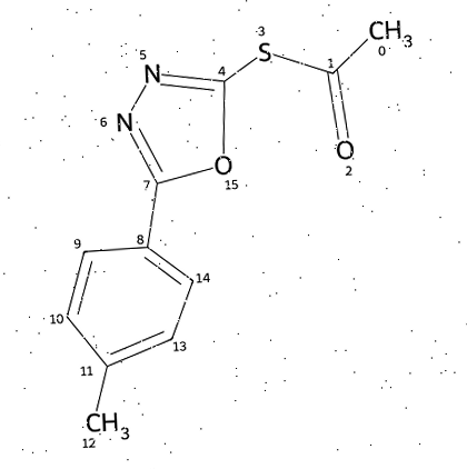 CC(=O)Sc1nnc(-c2ccc(C)cc2)o1